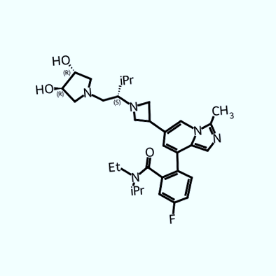 CCN(C(=O)c1cc(F)ccc1-c1cc(C2CN([C@H](CN3C[C@@H](O)[C@H](O)C3)C(C)C)C2)cn2c(C)ncc12)C(C)C